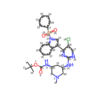 CN1C[C@@H](NC(=O)OC(C)(C)C)C[C@@H](Nc2ncc(Cl)c(-c3cn(S(=O)(=O)c4ccccc4)c4ccccc34)n2)C1